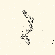 CN1CCN(c2ccc3c(c2)n(C)c(=O)n3C)c2cnc(-c3ccc(C(=O)NCC#Cc4ccc5occ(C6CCC(=O)NC6=O)c5c4)nc3)nc21